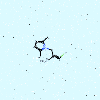 Cc1ccc(C)n1C/C(=C\F)C(=O)O